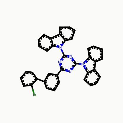 Brc1ccccc1-c1cccc(-c2nc(-n3c4ccccc4c4ccccc43)nc(-n3c4ccccc4c4ccccc43)n2)c1